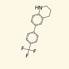 FC(F)(F)c1ccc(-c2ccc3c(c2)CCCN3)cc1